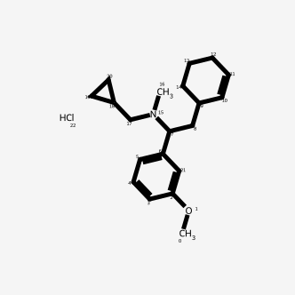 COc1cccc(C(CC2C=CCCC2)N(C)CC2CC2)c1.Cl